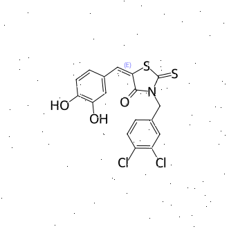 O=C1/C(=C\c2ccc(O)c(O)c2)SC(=S)N1Cc1ccc(Cl)c(Cl)c1